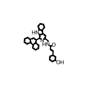 O=C(/C=C/c1cccc(O)c1)NCc1cc2c([nH]c3ccccc32)c(-c2cc3ccccc3c3ccccc23)n1